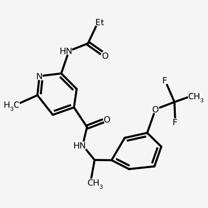 CCC(=O)Nc1cc(C(=O)NC(C)c2cccc(OC(C)(F)F)c2)cc(C)n1